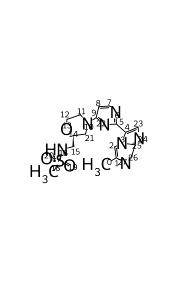 Cc1cn2c(-c3nccc(N4CCO[C@H](CNS(C)(=O)=O)C4)n3)cnc2cn1